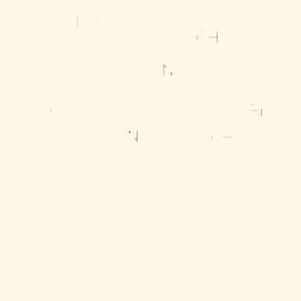 Cc1c(C)[n+](Cc2ccccc2)c(C)n1C.[Br-]